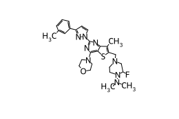 Cc1cccc(-c2ccn(-c3nc(N4CCOCC4)c4sc(CN5CCN(N(C)C)C(F)C5)c(C)c4n3)n2)c1